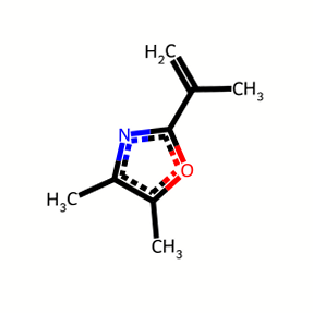 C=C(C)c1nc(C)c(C)o1